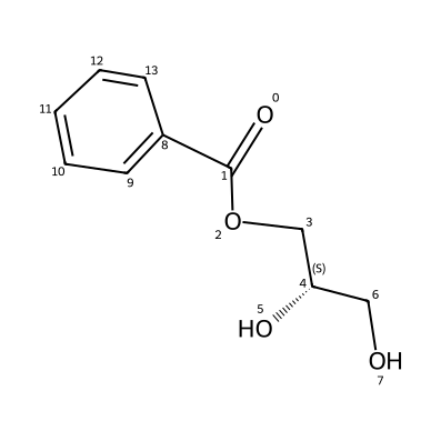 O=C(OC[C@@H](O)CO)c1ccccc1